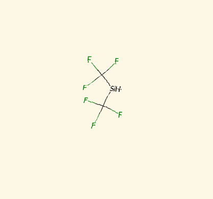 FC(F)(F)[SiH]C(F)(F)F